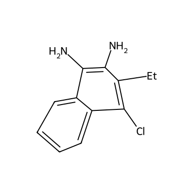 CCc1c(N)c(N)c2ccccc2c1Cl